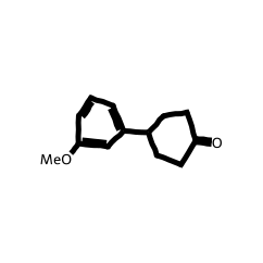 COc1cccc(C2CCC(=O)CC2)c1